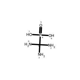 NC(N)(N)P(=O)(O)O